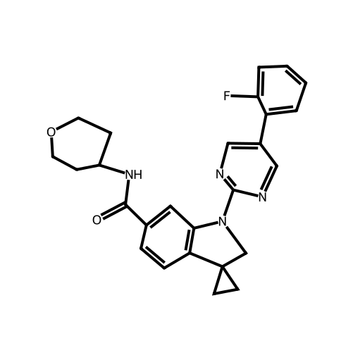 O=C(NC1CCOCC1)c1ccc2c(c1)N(c1ncc(-c3ccccc3F)cn1)CC21CC1